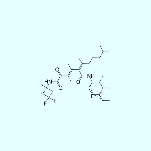 C=C(/C(C)=C(\C=C/C(C)CC)NC(=O)C(=C(/C)CCCC(C)C)/C(C)=C(\C)C(=O)C(=O)NC1(C)CC(F)(F)C1)C(C)F